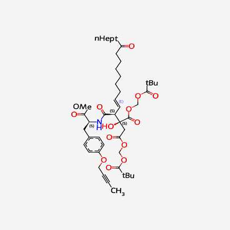 CC#CCOc1ccc(C[C@H](NC(=O)[C@@H](/C=C/CCCCCCC(=O)CCCCCCC)[C@@](O)(CC(=O)OCOC(=O)C(C)(C)C)C(=O)OCOC(=O)C(C)(C)C)C(=O)OC)cc1